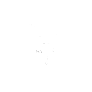 CC1=CC2NC(=O)OC2CCC1